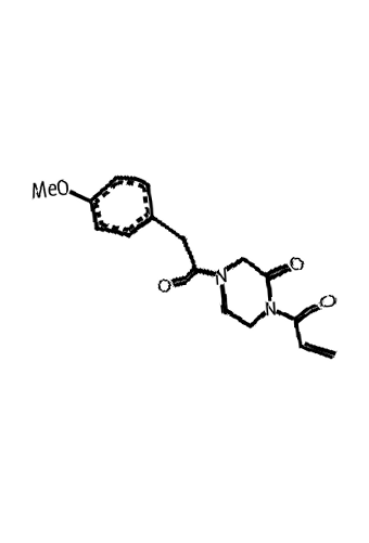 C=CC(=O)N1CCN(C(=O)Cc2ccc(OC)cc2)CC1=O